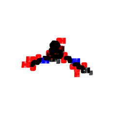 CC(=O)[C@@H](O)CC(=O)NCCC(=O)OC1=CC[C@@]2(OC(=O)CCNC(=O)C[C@H](O)C(=O)O)[C@H]3Cc4ccc(O)c5c4[C@@]2(CCN3C)[C@H]1O5